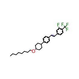 CCCCCCCCOC1CCC(c2ccc(/C=C/c3ccc(C(F)(F)F)c(F)c3)cc2)CC1